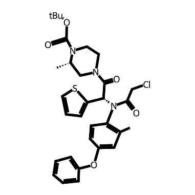 Cc1cc(Oc2ccccc2)ccc1N(C(=O)CCl)[C@@H](C(=O)N1CCN(C(=O)OC(C)(C)C)[C@@H](C)C1)c1cccs1